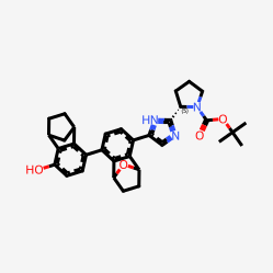 CC(C)(C)OC(=O)N1CCC[C@H]1c1ncc(-c2ccc(-c3ccc(O)c4c3C3CCC4C3)c3c2C2CCC3O2)[nH]1